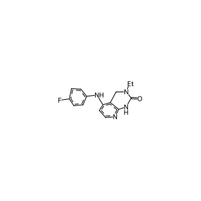 CCN1Cc2c(Nc3ccc(F)cc3)ccnc2NC1=O